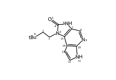 CC(C)(C)CCn1c(=O)[nH]c2cnc3[nH]ccc3c21